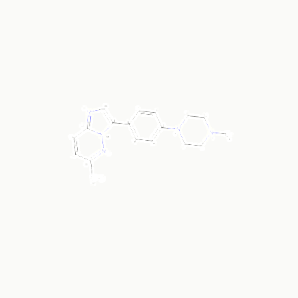 CCN1CCN(c2ccc(-c3cnc4ccc(C=O)nn34)cc2)CC1